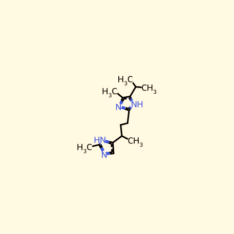 Cc1ncc(C(C)CCc2nc(C)c(C(C)C)[nH]2)[nH]1